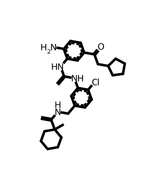 C=C(Nc1cc(C(=O)CC2CCCC2)ccc1N)Nc1cc(CNC(=C)C2(C)CCCCC2)ccc1Cl